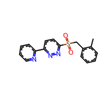 Cc1ccccc1CS(=O)(=O)c1ccc(-c2ccccn2)nn1